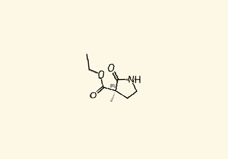 CCOC(=O)[C@]1(C)CCNC1=O